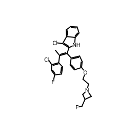 C/C(=C(/c1ccc(OCCN2CC(CF)C2)cc1)c1[nH]c2ccccc2c1Cl)c1ccc(F)cc1Cl